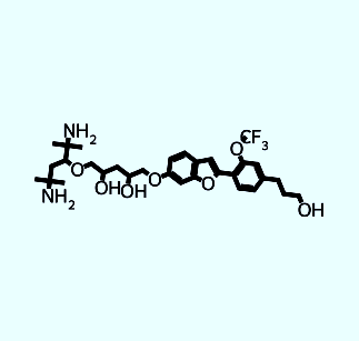 CC(C)(N)CC(OCC(O)CC(O)COc1ccc2cc(-c3ccc(CCCO)cc3OC(F)(F)F)oc2c1)C(C)(C)N